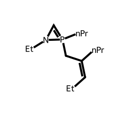 CC/C=C(/CCC)CP1(CCC)=CN1CC